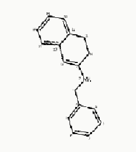 C1=C(NCc2ccccc2)CCc2ccccc21